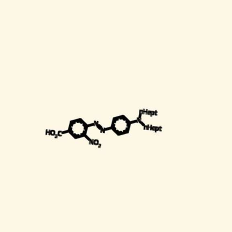 CCCCCCCN(CCCCCCC)c1ccc(N=Nc2ccc(C(=O)O)cc2[N+](=O)[O-])cc1